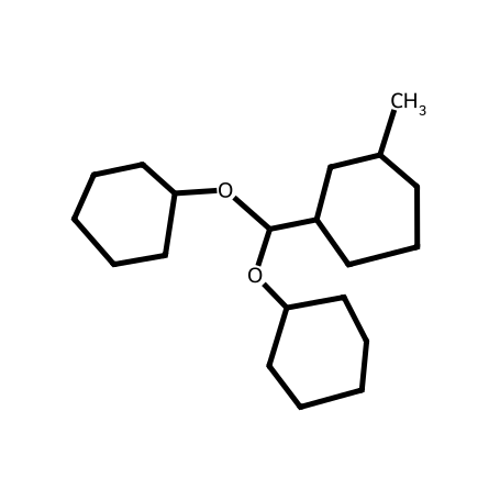 CC1CCCC(C(OC2CCCCC2)OC2CCCCC2)C1